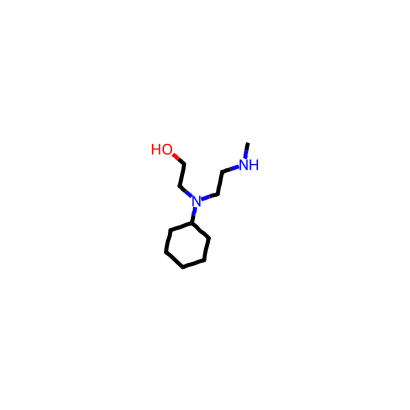 CNCCN(CCO)C1CCCCC1